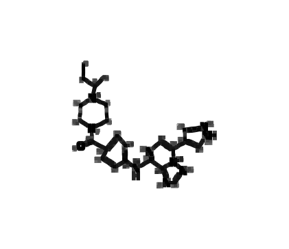 CCC(C)N1CCN(C(=O)c2ccc(Nc3ncc(-c4cn[nH]c4)n4ncnc34)cc2)CC1